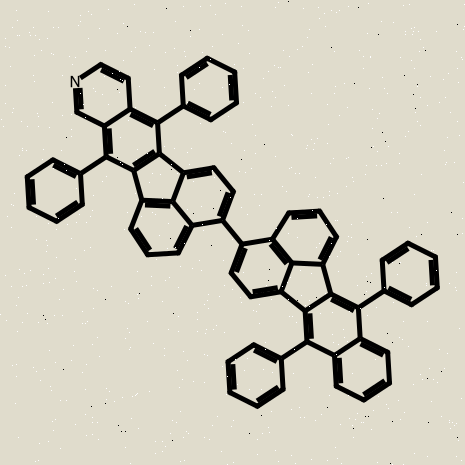 c1ccc(-c2c3c(c(-c4ccccc4)c4ccccc24)-c2ccc(-c4ccc5c6c(cccc46)-c4c-5c(-c5ccccc5)c5ccncc5c4-c4ccccc4)c4cccc-3c24)cc1